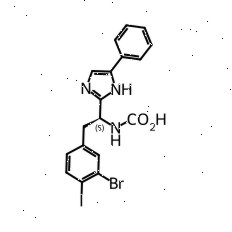 O=C(O)N[C@@H](Cc1ccc(I)c(Br)c1)c1ncc(-c2ccccc2)[nH]1